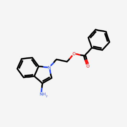 Nc1cn(CCOC(=O)c2ccccc2)c2ccccc12